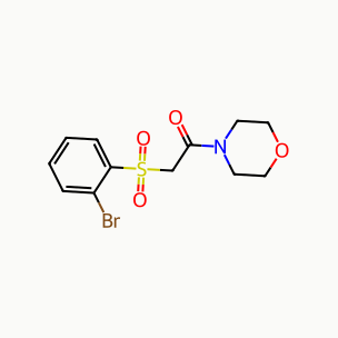 O=C(CS(=O)(=O)c1ccccc1Br)N1CCOCC1